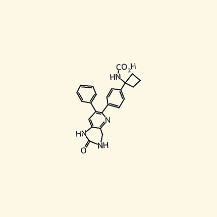 O=C(O)NC1(c2ccc(-c3nc4c(cc3-c3ccccc3)NC(=O)NC4)cc2)CCC1